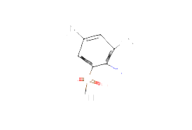 CS(=O)(=O)c1cc([N+](=O)[O-])cc(C#N)c1N